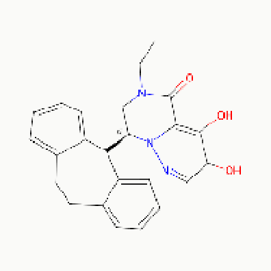 CCN1C[C@H](C2c3ccccc3CCc3ccccc32)N2N=CC(O)C(O)=C2C1=O